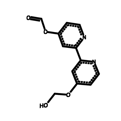 O=COc1ccnc(-c2cc(OCO)ccn2)c1